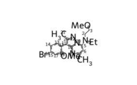 CCN(CCOC)c1cc(C)nc2c(-c3ccc(Br)cc3OC)c(C)nn12